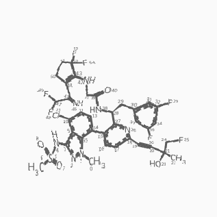 Cn1nc(NS(C)(=O)=O)c2c(Cl)ccc(-c3ccc(C#CC(C)(O)CF)nc3[C@H](Cc3cc(F)cc(F)c3)NC(=O)CNC3=C(C(=N)C(F)F)CCC3(F)F)c21